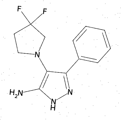 Nc1[nH]nc(-c2ccccc2)c1N1CCC(F)(F)C1